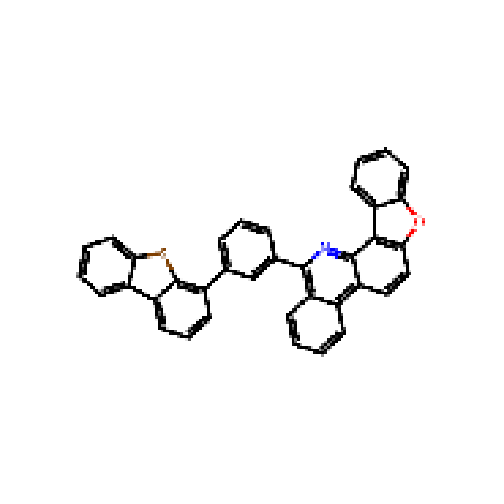 c1cc(-c2nc3c(ccc4oc5ccccc5c43)c3ccccc23)cc(-c2cccc3c2sc2ccccc23)c1